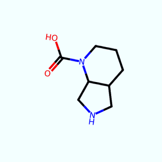 O=C(O)N1CCCC2CNCC21